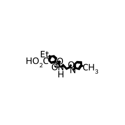 CCc1ccc(S(=O)(=O)NCCc2nc3cc(C)ccc3o2)cc1C(=O)O